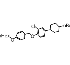 CCCCCCOc1ccc(COc2ccc(C3CCC(CCCC)CC3)cc2Cl)cc1